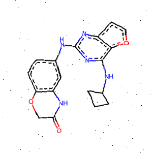 O=C1COc2ccc(Nc3nc(NC4CCC4)c4occc4n3)cc2N1